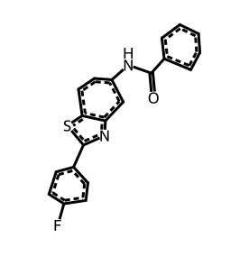 O=C(Nc1ccc2sc(-c3ccc(F)cc3)nc2c1)c1ccccc1